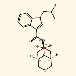 [2H]C([2H])([2H])N1[C@@H]2COC[C@H]1C[C@@H](OC(=O)c1cn(CC(F)F)c3ccccc13)C2